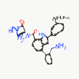 CC(=O)Nc1cccc(-c2cc3c(-c4ccccc4CN)ccc(C(N)=O)c3[nH]2)c1.O=C1C=CN1